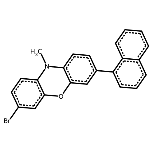 CN1c2ccc(Br)cc2Oc2cc(-c3cccc4ccccc34)ccc21